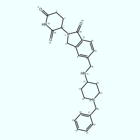 O=C1CCC(N2Cc3cc(CNC4CCN(Cc5ccccc5)CC4)ccc3C2=O)C(=O)N1